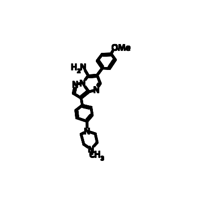 COc1ccc(-c2cnc3c(-c4ccc(N5CCN(C)CC5)cc4)cnn3c2N)cc1